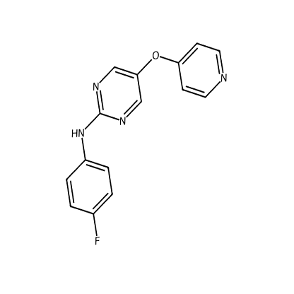 Fc1ccc(Nc2ncc(Oc3ccncc3)cn2)cc1